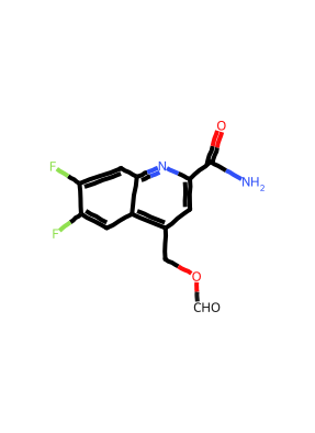 NC(=O)c1cc(COC=O)c2cc(F)c(F)cc2n1